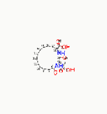 O=C(O)C[C@@H]1NC(=O)CCCCCCCCCC[C@@H](C(=O)O)NC1=O